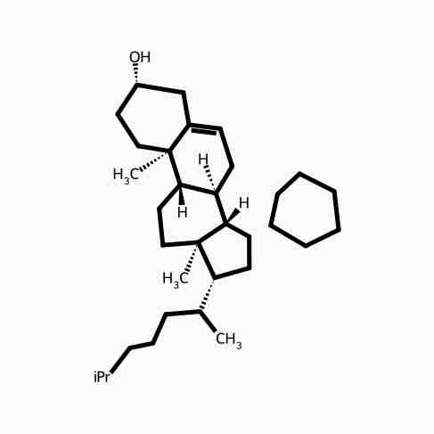 C1CCCCC1.CC(C)CCCC(C)[C@H]1CC[C@H]2[C@@H]3CC=C4C[C@@H](O)CC[C@]4(C)[C@H]3CC[C@]12C